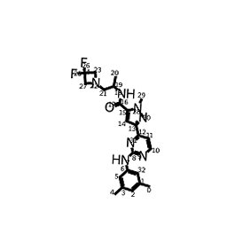 Cc1cc(C)cc(Nc2nccc(-c3cc(C(=O)NC(C)CN4CC(F)(F)C4)n(C)n3)n2)c1